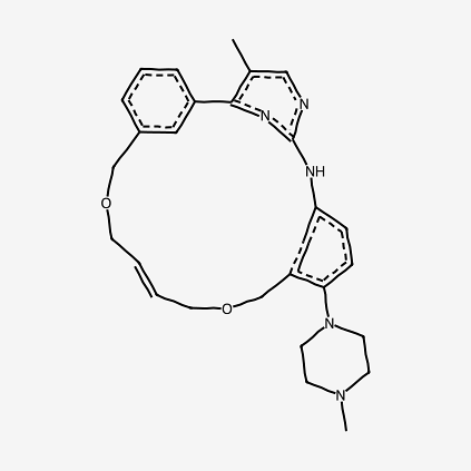 Cc1cnc2nc1-c1cccc(c1)COC/C=C/COCc1cc(ccc1N1CCN(C)CC1)N2